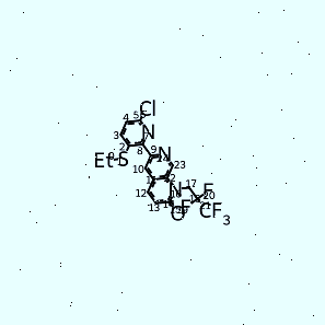 CCSc1ccc(Cl)nc1-c1cc2ccc(=O)n(CC(F)(F)C(F)(F)F)c2cn1